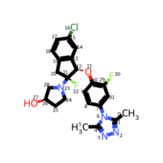 Cc1nnc(C)n1-c1ccc(O[C@H]2c3cc(Cl)ccc3C[C@@]2(F)N2CC[C@@H](O)C2)c(F)c1